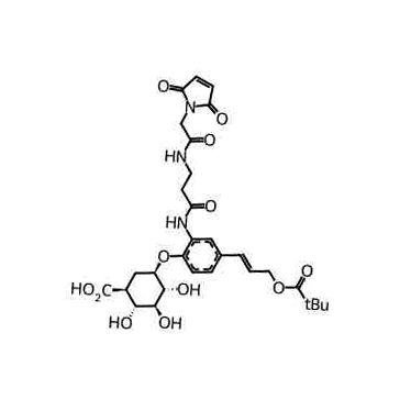 CC(C)(C)C(=O)OC/C=C/c1ccc(O[C@@H]2C[C@H](C(=O)O)[C@@H](O)[C@H](O)[C@H]2O)c(NC(=O)CCNC(=O)CN2C(=O)C=CC2=O)c1